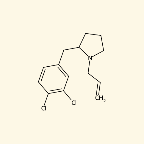 C=CCN1CCCC1Cc1ccc(Cl)c(Cl)c1